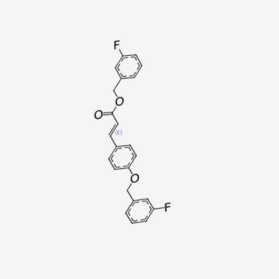 O=C(/C=C/c1ccc(OCc2cccc(F)c2)cc1)OCc1cccc(F)c1